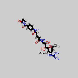 CC(=O)N[C@H]1C(C(O)[C@H](O)CNC(=O)CCCC(=O)Nc2ccc(C(=O)N3CCC3=O)cc2)OC(C)=C[C@@H]1NC(=N)N